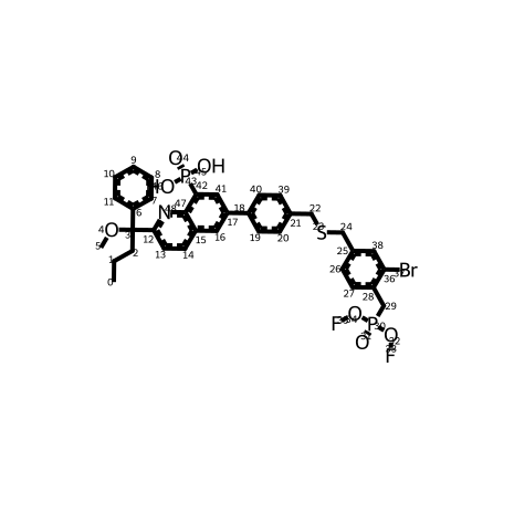 CCCC(OC)(c1ccccc1)c1ccc2cc(-c3ccc(CSCc4ccc(CP(=O)(OF)OF)c(Br)c4)cc3)cc(P(=O)(O)O)c2n1